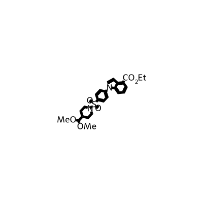 CCOC(=O)c1cccc2c1ccn2-c1ccc(S(=O)(=O)N2CCC(C(OC)OC)CC2)cc1